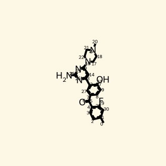 Cc1ccc(C(=O)c2ccc(O)c(-c3cc(N4CCN(C)CC4)nc(N)n3)c2)c(F)c1